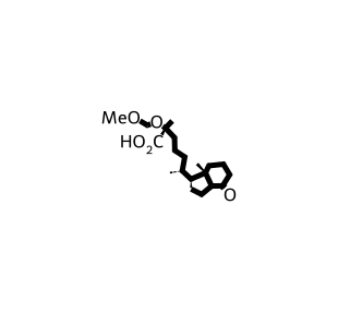 COCO[C@](C)(CCC[C@@H](C)[C@H]1CCC2C(=O)CCC[C@]21C)C(=O)O